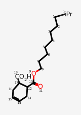 CC(C)CCCCCCCCOC(=O)C1CC=CCC1C(=O)O